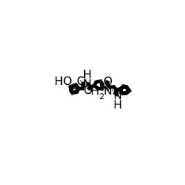 N[C@@H](Cc1c[nH]c2ccccc12)C(=O)N1CCC(C(=O)N[C@H](Cc2ccccc2)C(=O)O)CC1